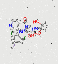 CC[C@H](N[C@@]1(O)CCC[C@@H]1O)C1(O)CN(C(=O)c2ccnc(F)c2Nc2ccc(I)cc2F)C1